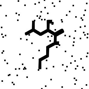 C=C(NCCCC)C(N)CC(C)C